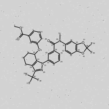 COC(=O)c1cncc(OC2CCCc3c(C(F)(F)F)nn(-c4cccc(C(=O)N(C)c5ccc6c(c5)OC(F)(F)O6)c4)c32)c1